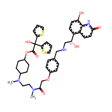 CN(CCN(C)C1CCC(OC(=O)C(O)(c2cccs2)c2cccs2)CC1)C(=O)COc1ccc(CNC[C@@H](O)c2ccc(O)c3[nH]c(=O)ccc23)cc1